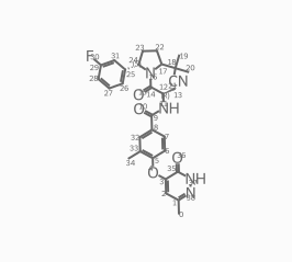 Cc1cc(Oc2ccc(C(=O)N[C@H](C)C(=O)N3C(C(C)(C)C#N)CC[C@H]3c3cccc(F)c3)cc2C)c(=O)[nH]n1